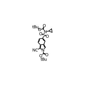 CC(C)(C)OC(=O)N(C1CC1)S(=O)(=O)c1ccc2c(C#N)n(C(=O)OC(C)(C)C)cc2c1